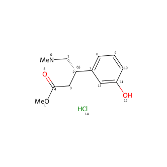 CNC[C@@H](CC(=O)OC)c1cccc(O)c1.Cl